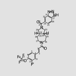 O=C(C=Cc1ccc(OC(F)(F)F)c(F)c1)N1CC[C@@H]2CN(C(=O)c3ccc4[nH]nnc4c3)C[C@@H]2CC1